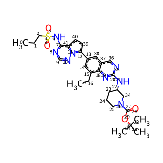 CCCS(=O)(=O)Nc1ncnn2c(-c3cc(CC)c4nc(N[C@H]5CCCN(C(=O)OC(C)(C)C)C5)ncc4c3)ccc12